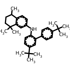 CC1CCC(C)(C)c2cc(Nc3ccc(C(C)(C)C)cc3-c3ccc(C(C)(C)C)cc3)ccc21